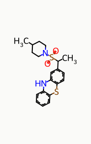 CC1CCN(S(=O)(=O)C(C)c2ccc3c(c2)Nc2ccccc2S3)CC1